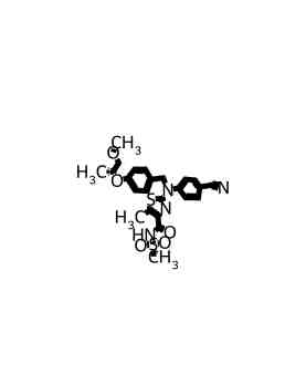 COC[C@H](C)Oc1ccc(CN(c2ccc(C#N)cc2)c2nc(C(=O)NS(C)(=O)=O)c(C)s2)cc1